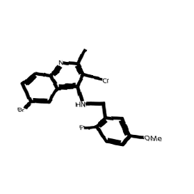 COc1ccc(F)c(CNc2c(Cl)c(C)nc3ccc(Br)cc23)c1